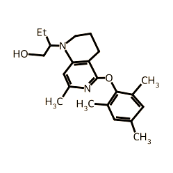 CCC(CO)N1CCCc2c1cc(C)nc2Oc1c(C)cc(C)cc1C